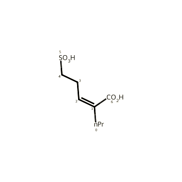 CCCC(=CCCS(=O)(=O)O)C(=O)O